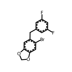 Fc1cc(F)cc(Cc2cc3c(cc2Br)OCO3)c1